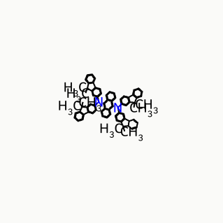 CC1(C)c2ccccc2-c2ccc(N(c3ccc4c(c3)C3C=CC=CC3C4(C)C)c3c4ccccc4c(N(c4ccc5c(c4)C(C)(C)c4ccccc4-5)c4ccc5c(c4)C(C)(C)c4ccccc4-5)c4ccccc34)cc21